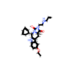 C=CCNCCN1C(=O)N2[C@H](C3C=CC=CC3)c3[nH]c4ccc(OCC)cc4c3C[C@@]2(C)C1=O